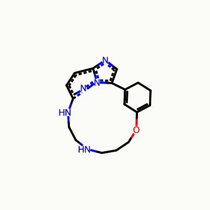 C1=C2C=C(CC1)c1cnc3ccc(nn13)NCCNCCCO2